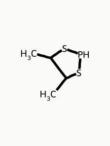 CC1SPSC1C